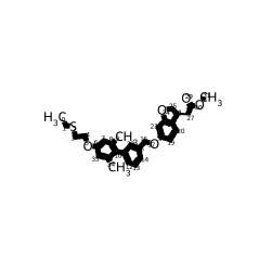 CCSCCOc1cc(C)c(-c2cccc(COc3ccc4c(c3)OC[C@H]4CC(=O)OC)c2)c(C)c1